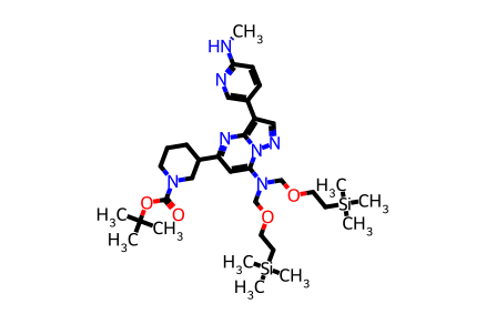 CNc1ccc(-c2cnn3c(N(COCC[Si](C)(C)C)COCC[Si](C)(C)C)cc(C4CCCN(C(=O)OC(C)(C)C)C4)nc23)cn1